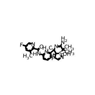 Cc1cc(F)cnc1C(=O)Nc1ccc(F)c([C@@]2(C)N=C(N)C(C)(C)[S@@]3(O)N=CC[C@H]23)n1